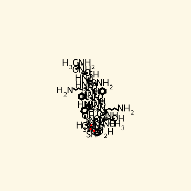 CC(O)[C@H](NC(=O)[C@H](Cc1ccccc1)NC(=O)[C@@H](NC(=O)[C@H](CCCCN)NC(=O)[C@H](Cc1c[nH]c2ccccc12)NC(=O)[C@H](Cc1ccccc1)NC(=O)[C@H](Cc1ccccc1)NC(=O)[C@H](CC(N)=O)NC(=O)[C@H](CCCCN)NC(=O)[C@H](CS)NC(=O)CNC(=O)[C@H](C)N)C(C)O)C(=O)N[C@@H](CO)C(=O)N[C@@H](CS)C(=O)O